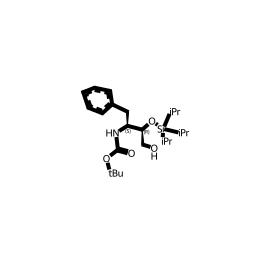 CC(C)[Si](O[C@@H](CO)[C@H](Cc1ccccc1)NC(=O)OC(C)(C)C)(C(C)C)C(C)C